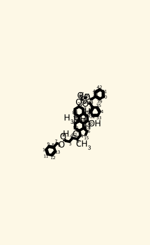 C[C@H](CCC(=O)OCc1ccccc1)[C@H]1CC[C@H]2[C@@H]3[C@@H](O)C[C@@H]4C[C@H](OP(=O)(OCc5ccccc5)OCc5ccccc5)CC[C@]4(C)[C@H]3CC[C@]12C